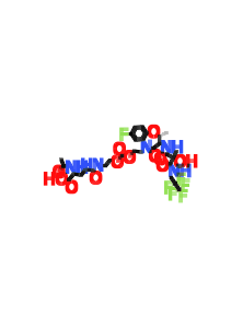 CC(=O)NC(CCC(=O)NCCOC(=O)OCCN1C(=O)[C@@H](NC(=O)C(C)(O)C(=O)NCC(F)(F)C(F)(F)F)[C@@H](C)Oc2ccc(F)cc21)C(=O)O